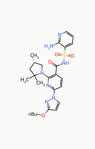 CCCCOc1ccn(-c2ccc(C(=O)NS(=O)(=O)c3cccnc3N)c(N3C[C@@H](C)CC3(C)C)n2)n1